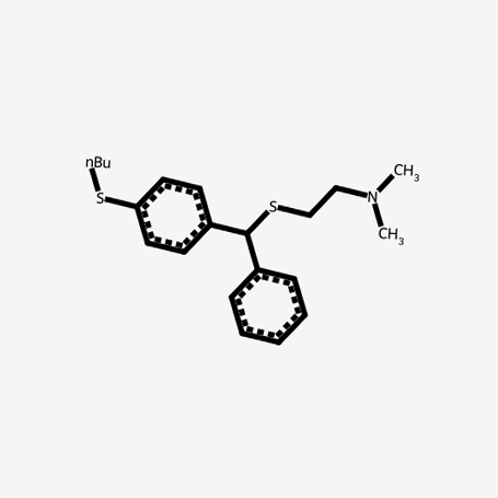 CCCCSc1ccc(C(SCCN(C)C)c2ccccc2)cc1